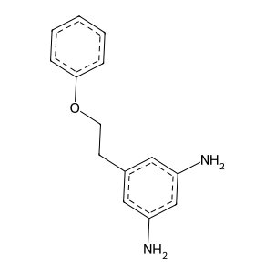 Nc1cc(N)cc(CCOc2ccccc2)c1